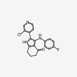 O=C1CCCc2[nH]c(-c3ccncc3Cl)c(Nc3ccc(F)cc3)c21